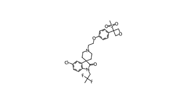 CC(F)(F)CN1C(=O)C2(CCN(CCOc3ccc(C4(S(C)(=O)=O)COC4)cc3)CC2)c2cc(Cl)ccc21